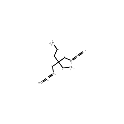 CCCC(CC)(CN=C=O)CN=C=O